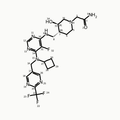 NC(=O)CN1CC[C@H](CNc2ncnc(N(Cc3cnc(C(F)(F)F)nc3)C3CCC3)c2F)[C@@H](O)C1